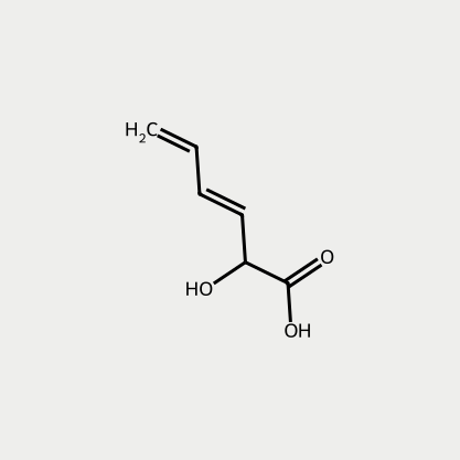 C=CC=CC(O)C(=O)O